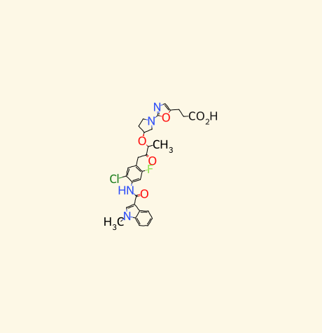 CC(O[C@H]1CCN(c2ncc(CCC(=O)O)o2)C1)C(=O)Cc1cc(Cl)c(NC(=O)c2cn(C)c3ccccc23)cc1F